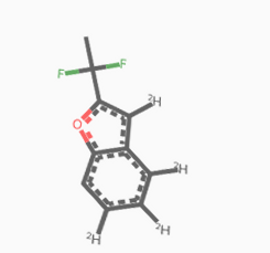 [2H]c1cc2oc(C(C)(F)F)c([2H])c2c([2H])c1[2H]